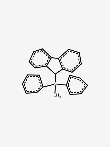 C[Si](c1ccccc1)(c1ccccc1)C1c2ccccc2-c2ccccc21